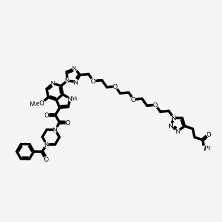 COc1cnc(-n2cnc(COCCOCCOCCOCCn3cc(CCC(=O)C(C)C)nn3)n2)c2[nH]cc(C(=O)C(=O)N3CCN(C(=O)c4ccccc4)CC3)c12